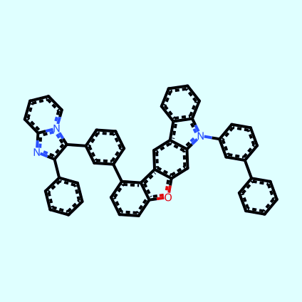 c1ccc(-c2cccc(-n3c4ccccc4c4cc5c(cc43)oc3cccc(-c4cccc(-c6c(-c7ccccc7)nc7ccccn67)c4)c35)c2)cc1